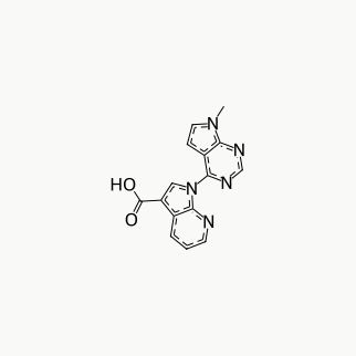 Cn1ccc2c(-n3cc(C(=O)O)c4cccnc43)ncnc21